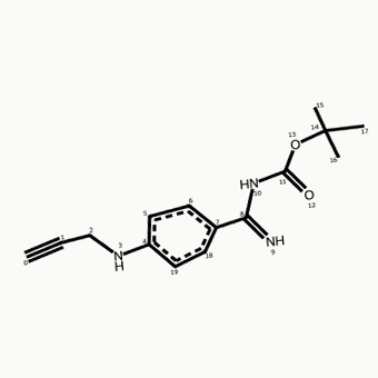 C#CCNc1ccc(C(=N)NC(=O)OC(C)(C)C)cc1